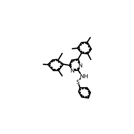 Cc1cc(C)c(-c2cc(-c3c(C)cc(C)cc3C)nc(NSc3ccccc3)n2)c(C)c1